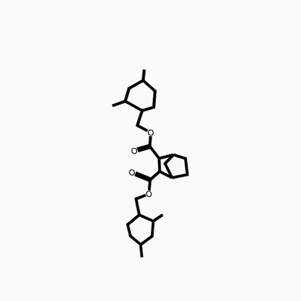 CC1CCC(COC(=O)C2C3CCC(C3)C2C(=O)OCC2CCC(C)CC2C)C(C)C1